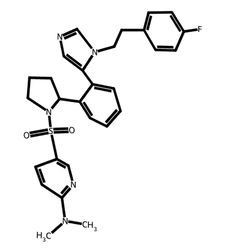 CN(C)c1ccc(S(=O)(=O)N2CCCC2c2ccccc2-c2cncn2CCc2ccc(F)cc2)cn1